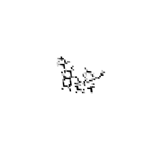 CC(=O)O[C@@H]([C@H](Cn1c(=O)c(-c2nnnn2C)nc2cc(C)c(C)cc21)OC(C)=O)[C@@H](COCC#N)OC(C)=O